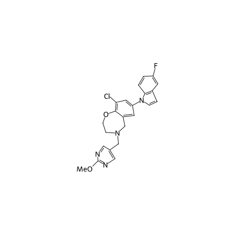 COc1ncc(CN2CCOc3c(Cl)cc(-n4ccc5cc(F)ccc54)cc3C2)cn1